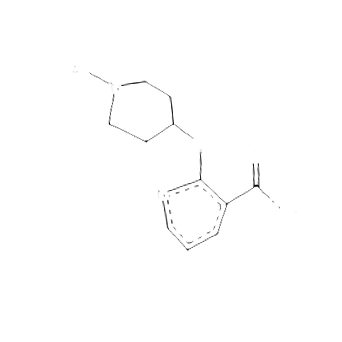 CC(=O)N1CCC(Oc2ncccc2C(N)=O)CC1